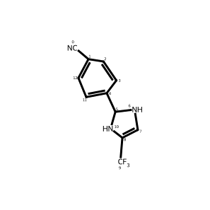 N#Cc1ccc(C2NC=C(C(F)(F)F)N2)cc1